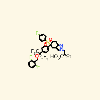 CCC(Cn1cc2c(n1)CCC(c1ccc(C(OCc3c(F)cccc3F)(C(F)(F)F)C(F)(F)F)cc1)(S(=O)(=O)c1ccc(F)cc1)C2)C(=O)O